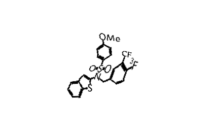 COc1ccc(S(=O)(=O)N(Cc2ccc(F)c(C(F)(F)F)c2)c2cc3ccccc3s2)cc1